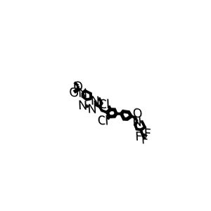 COC(=O)N1CCC(N2CCC(Cc3c(Cl)cc(-c4ccc(C(=O)N5CCC(C(F)(F)F)CC5)cc4)cc3Cl)/C2=N/C#N)CC1